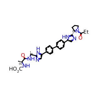 CCC(=O)N1CCC[C@H]1c1ncc(-c2ccc(-c3ccc(-c4cnc([C@@H](C)NC(=O)[C@H](C)NC(=O)O)[nH]4)cc3)cc2)[nH]1